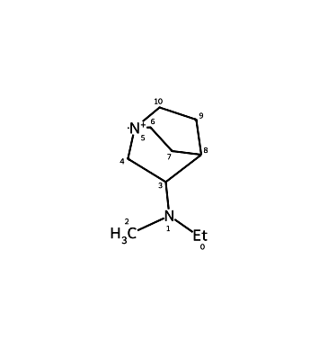 CCN(C)C1C[N+]2CCC1CC2